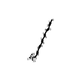 CC#CC#CC#CC#CC#CC#CC[N+](C)(C)C